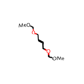 COCOCC=CCOCOC